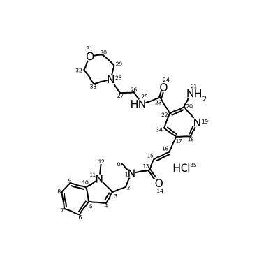 CN(Cc1cc2ccccc2n1C)C(=O)C=Cc1cnc(N)c(C(=O)NCCN2CCOCC2)c1.Cl